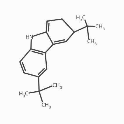 CC(C)(C)c1ccc2[nH]c3c(c2c1)=CC(C(C)(C)C)CC=3